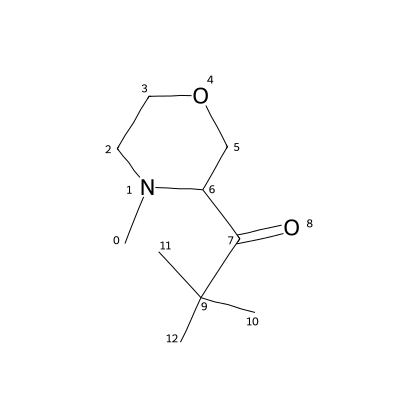 CN1CCOCC1C(=O)C(C)(C)C